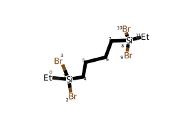 CC[Si](Br)(Br)CCCC[Si](Br)(Br)CC